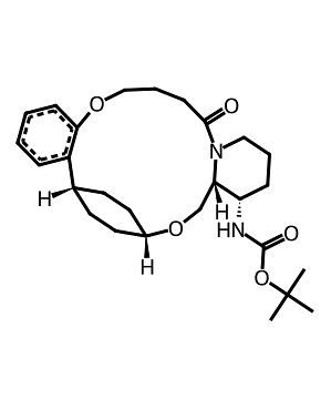 CC(C)(C)OC(=O)N[C@H]1CCCN2C(=O)CCCOc3ccccc3[C@H]3CC[C@H](CC3)OC[C@@H]12